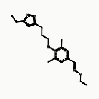 CCON=Cc1cc(C)c(OCCCc2cc(CC)no2)c(C)c1